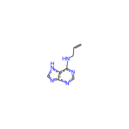 C=CCNc1ncnc2nc[nH]c12